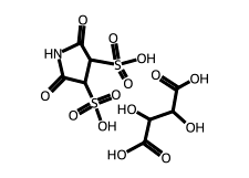 O=C(O)C(O)C(O)C(=O)O.O=C1NC(=O)C(S(=O)(=O)O)C1S(=O)(=O)O